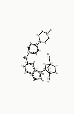 CN1CCN(c2ccc(Nc3ncc4cnn(C5C[C@@H]6CC[C@H]5C6)c4n3)cc2)CC1